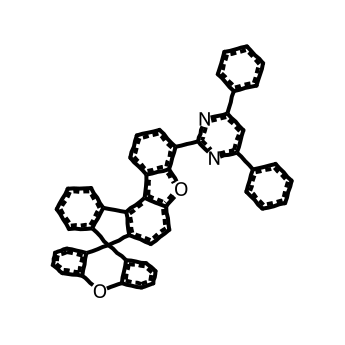 c1ccc(-c2cc(-c3ccccc3)nc(-c3cccc4c3oc3ccc5c(c34)-c3ccccc3C53c4ccccc4Oc4ccccc43)n2)cc1